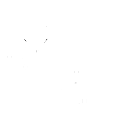 COC(=O)[C@@H](C)[C@H](c1ccc(I)c(O[C@@H](CO)c2cc(C)c(C)cc2C)c1)C1CC1